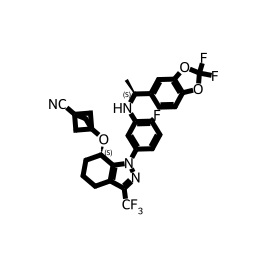 C[C@H](Nc1cc(-n2nc(C(F)(F)F)c3c2[C@@H](OC24CC(C#N)(C2)C4)CCC3)ccc1F)c1ccc2c(c1)OC(F)(F)O2